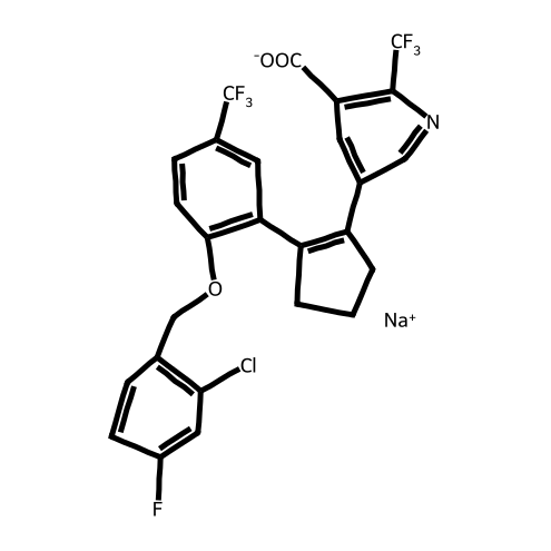 O=C([O-])c1cc(C2=C(c3cc(C(F)(F)F)ccc3OCc3ccc(F)cc3Cl)CCC2)cnc1C(F)(F)F.[Na+]